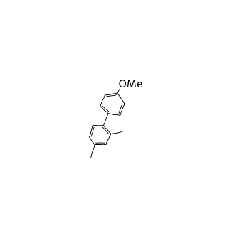 COc1ccc(-c2ccc(C)cc2C)cc1